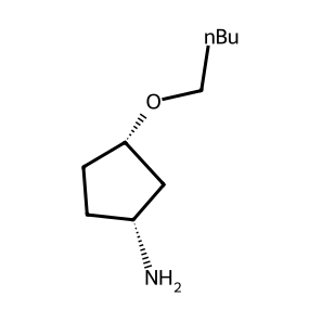 CCCCCO[C@H]1CC[C@@H](N)C1